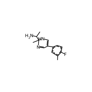 Cc1cc(C2=CNC(C)(C(C)N)N=C2)ccc1F